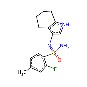 Cc1ccc(S(N)(=O)=Nc2c[nH]c3c2CCCC3)c(F)c1